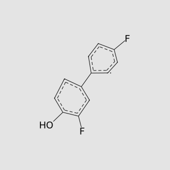 Oc1ccc(-c2[c]cc(F)cc2)cc1F